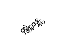 CCc1cccc(Cl)c1C(=O)N[C@@H](Cc1ccc(-c2c(C)n(C)c(=O)n(C)c2=O)cc1)C(=O)OC